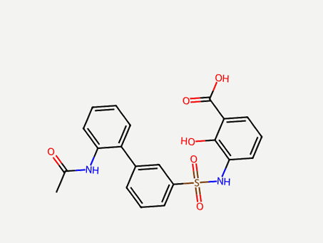 CC(=O)Nc1ccccc1-c1cccc(S(=O)(=O)Nc2cccc(C(=O)O)c2O)c1